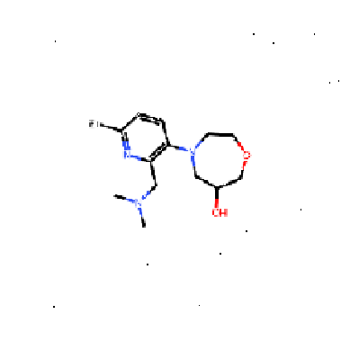 CCc1ccc(N2CCOCC(O)C2)c(CN(C)C)n1